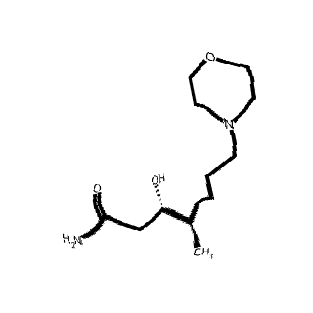 C[C@H](CCCN1CCOCC1)[C@@H](O)CC(N)=O